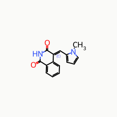 Cn1cccc1/C=C1/C(=O)NC(=O)c2ccccc21